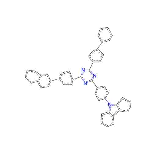 c1ccc(-c2ccc(-c3nc(-c4ccc(-c5ccc6ccccc6c5)cc4)nc(-c4ccc(-n5c6ccccc6c6ccccc65)cc4)n3)cc2)cc1